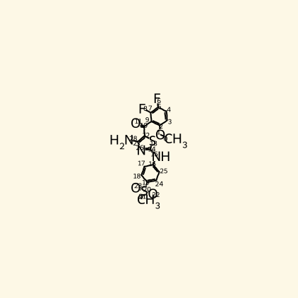 COc1ccc(F)c(F)c1C(=O)c1sc(Nc2ccc(S(C)(=O)=O)cc2)nc1N